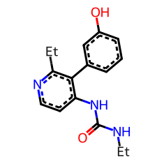 CCNC(=O)Nc1ccnc(CC)c1-c1cccc(O)c1